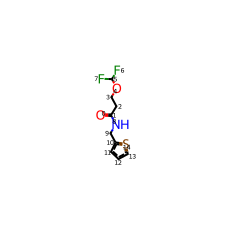 O=C(CCOC(F)F)NCc1cccs1